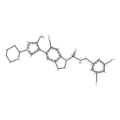 Nc1nn(C2CCCCO2)cc1-c1cc2c(cc1F)N(C(=O)NCc1cc(F)cc(F)c1)CC2